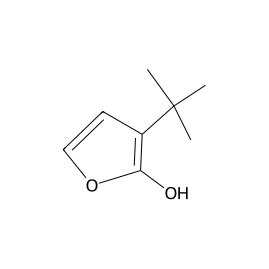 CC(C)(C)c1ccoc1O